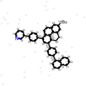 CC(C)(C)c1cc2c3c(ccc4c(-c5ccc(-c6cccnc6)cc5)cc(-c5ccc(-c6cccc7ccccc67)cc5)c(c43)CC2)c1